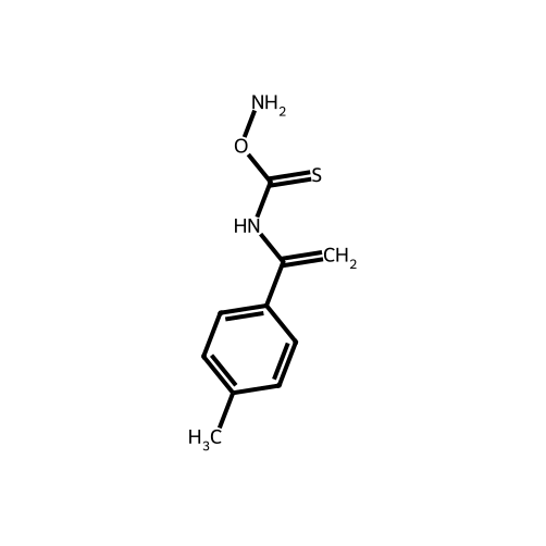 C=C(NC(=S)ON)c1ccc(C)cc1